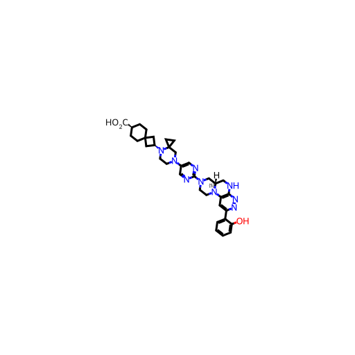 O=C(O)[C@H]1CCC2(CC1)C[C@H](N1CCN(c3cnc(N4CCN5c6cc(-c7ccccc7O)nnc6NC[C@H]5C4)nc3)CC13CC3)C2